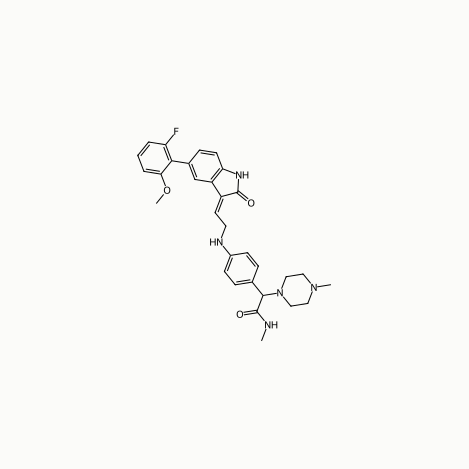 CNC(=O)C(c1ccc(NC/C=C2\C(=O)Nc3ccc(-c4c(F)cccc4OC)cc32)cc1)N1CCN(C)CC1